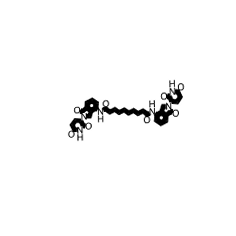 O=C1CCC(N2Cc3c(NC(=O)CCCCCCCCC(=O)Nc4cccc5c4CN(C4CCC(=O)NC4=O)C5=O)cccc3C2=O)C(=O)N1